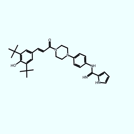 CC(C)(C)c1cc(C=CC(=O)N2CCN(c3ccc(NC(=N)c4ccc[nH]4)cc3)CC2)cc(C(C)(C)C)c1O